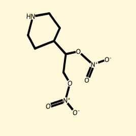 O=[N+]([O-])OCC(O[N+](=O)[O-])C1CCNCC1